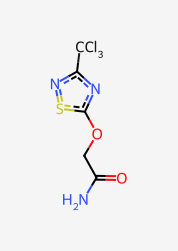 NC(=O)COc1nc(C(Cl)(Cl)Cl)ns1